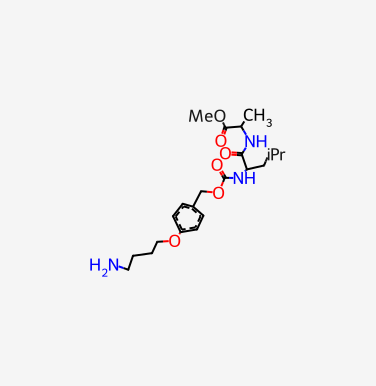 COC(=O)C(C)NC(=O)C(CC(C)C)NC(=O)OCc1ccc(OCCCCN)cc1